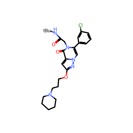 CC(C)(C)NC(=O)Cn1c(-c2cccc(Cl)c2)cn2nc(OCCCN3CCCCC3)cc2c1=O